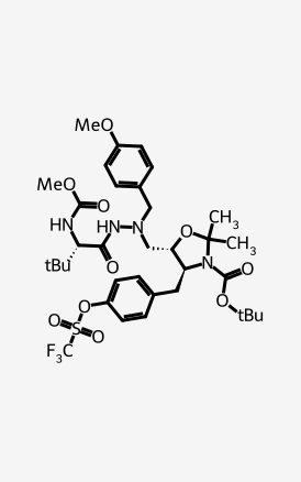 COC(=O)N[C@H](C(=O)NN(Cc1ccc(OC)cc1)C[C@@H]1OC(C)(C)N(C(=O)OC(C)(C)C)[C@H]1Cc1ccc(OS(=O)(=O)C(F)(F)F)cc1)C(C)(C)C